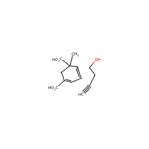 C#CCCO.CC1(C(=O)O)C=CC=C(C(=O)O)C1